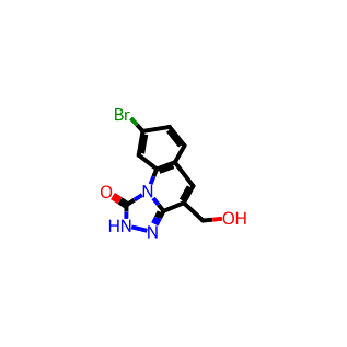 O=c1[nH]nc2c(CO)cc3ccc(Br)cc3n12